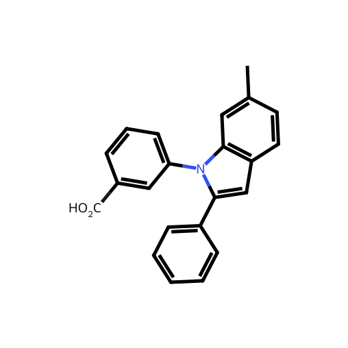 Cc1ccc2cc(-c3ccccc3)n(-c3cccc(C(=O)O)c3)c2c1